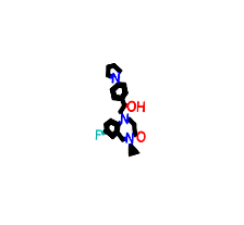 O=C1CCN(CC(O)c2ccc(N3CCCC3)cc2)c2ccc(F)cc2CN1C1CC1